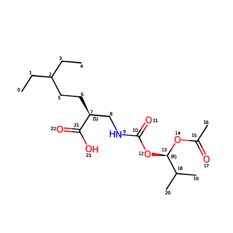 CCC(CC)CC[C@@H](CNC(=O)O[C@@H](OC(C)=O)C(C)C)C(=O)O